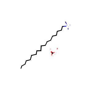 CCCCCCCCCCCCCCCCCC[N+](C)(C)C.COC(=O)[O-]